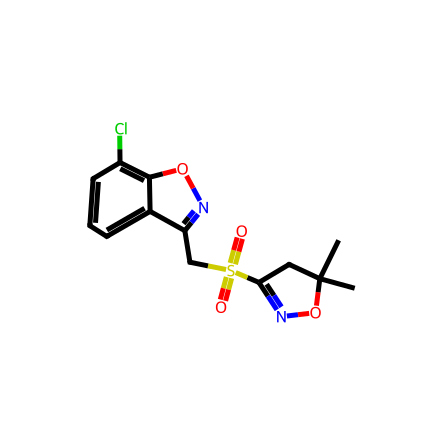 CC1(C)CC(S(=O)(=O)Cc2noc3c(Cl)cccc23)=NO1